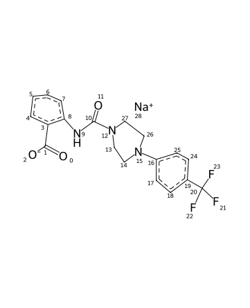 O=C([O-])c1ccccc1NC(=O)N1CCN(c2ccc(C(F)(F)F)cc2)CC1.[Na+]